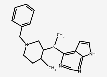 CC1CCN(Cc2ccccc2)CC1N(C)c1ncnc2[nH]ccc12